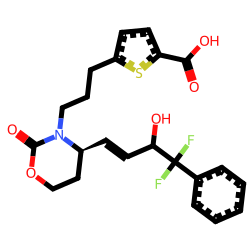 O=C(O)c1ccc(CCCN2C(=O)OCC[C@@H]2/C=C/C(O)C(F)(F)c2ccccc2)s1